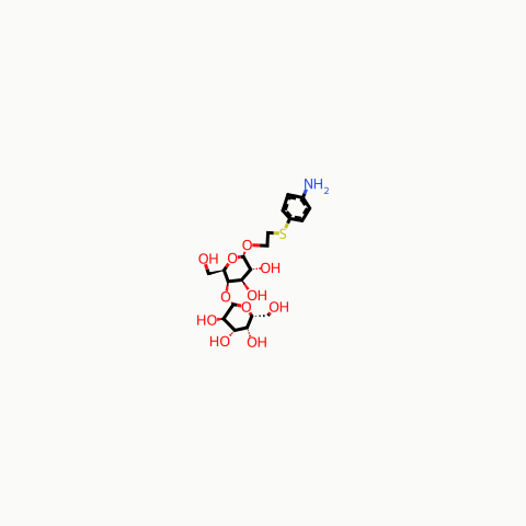 Nc1ccc(SCCO[C@H]2O[C@H](CO)[C@H](O[C@@H]3O[C@H](CO)[C@H](O)[C@H](O)[C@H]3O)[C@H](O)[C@H]2O)cc1